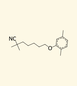 Cc1ccc(C)c(OCCCCCC(C)(C)C#N)c1